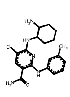 Cc1cccc(Nc2nc(NC3CCCCC3N)c(Cl)cc2C(N)=O)c1